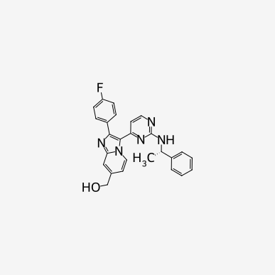 C[C@H](Nc1nccc(-c2c(-c3ccc(F)cc3)nc3cc(CO)ccn23)n1)c1ccccc1